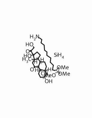 CO[Si](CCCCCCCCCCN)(OC)OC.C[C@]12CC[C@@H](O)C[C@H]1CC[C@@H]1[C@@H]2C(=O)C[C@@]2(C)[C@H]1CC[C@]2(O)C(=O)CO.[SiH4]